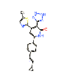 CCc1cnc(-c2cc(-c3ccc(/C=C/C4CC4)cc3)[nH]c(=O)c2-c2nn[nH]n2)s1